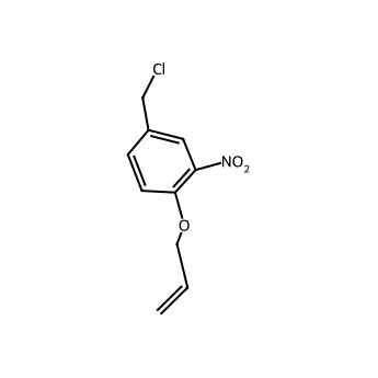 C=CCOc1ccc(CCl)cc1[N+](=O)[O-]